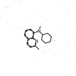 Cc1ccc2cccc(N(C)C3CCCCC3)c2n1